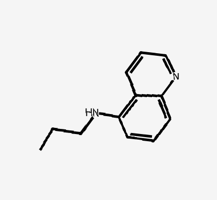 CCCNc1cccc2ncccc12